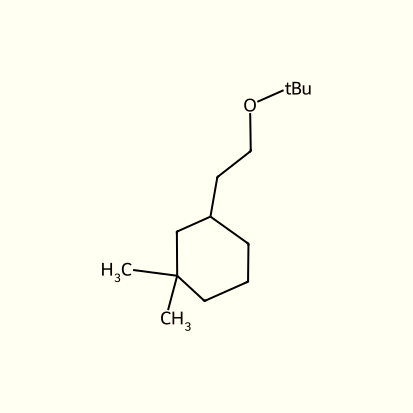 [CH2]C(C)(C)OCCC1CCCC(C)(C)C1